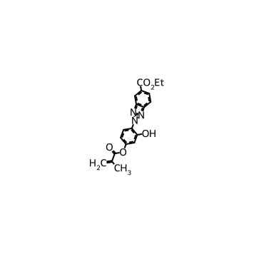 C=C(C)C(=O)Oc1ccc(-n2n3c4ccc(C(=O)OCC)cc4n23)c(O)c1